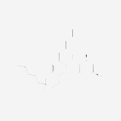 CCCCCc1cc(OC2O[C@H](O)[C@@H](O)[C@H](O)[C@H]2CO)c2c(c1)OC(C)(CCC=C(C)C)C=C2